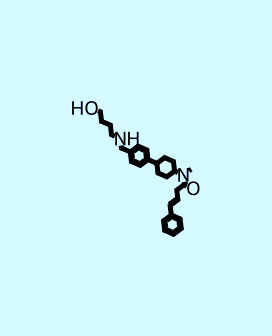 CN(C(=O)C/C=C/c1ccccc1)C1CCC(c2ccc(CNCCCCO)cc2)CC1